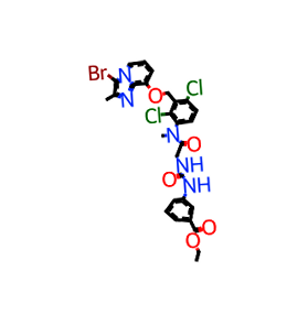 CCOC(=O)c1cccc(NC(=O)NCC(=O)N(C)c2ccc(Cl)c(COc3cccn4c(Br)c(C)nc34)c2Cl)c1